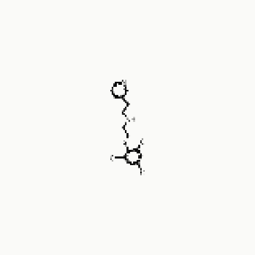 Clc1cc(Cl)c(SCCNCCc2cncnc2)c(Cl)c1